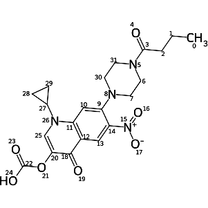 CCCC(=O)N1CCN(c2cc3c(cc2[N+](=O)[O-])c(=O)c(OC(=O)O)cn3C2CC2)CC1